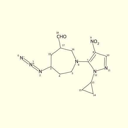 [N-]=[N+]=NC1CCN(c2c([N+](=O)[O-])cnn2C2CC2)CC(C=O)C1